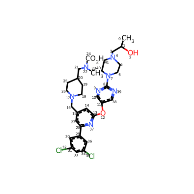 CC(O)CN1CCN(c2ncc(Oc3cc(CN4CCC(CN(C)C(=O)O)CC4)cc(-c4cc(Cl)cc(Cl)c4)n3)cn2)CC1